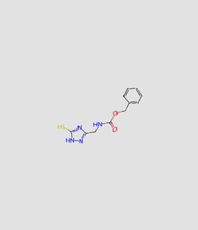 O=C(NCc1n[nH]c(S)n1)OCc1ccccc1